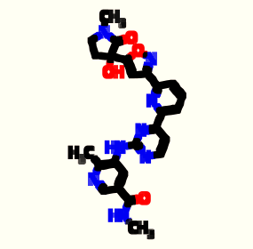 CNC(=O)c1cnc(C)c(Nc2nccc(-c3cccc(-c4cc(C5(O)CCN(C)C5=O)on4)n3)n2)c1